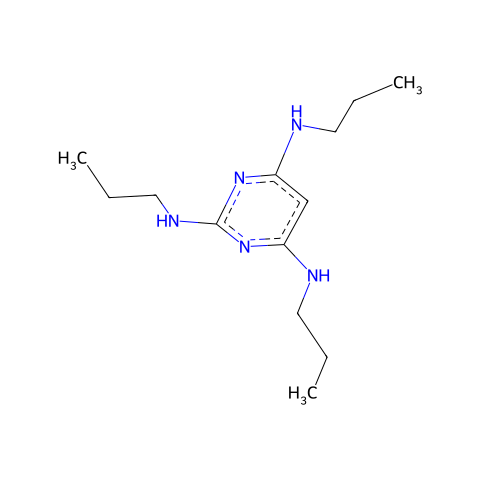 CCCNc1cc(NCCC)nc(NCCC)n1